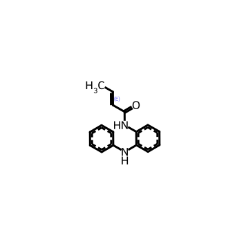 C/C=C/C(=O)Nc1ccccc1Nc1ccccc1